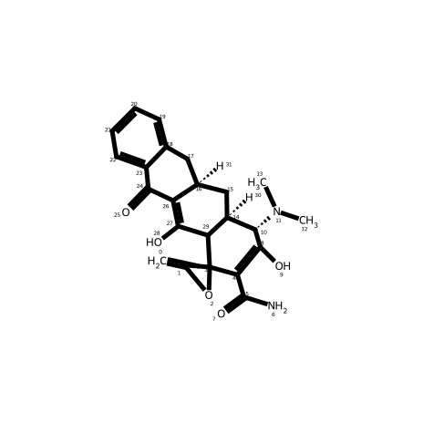 C=C1OC12C(C(N)=O)=C(O)[C@@H](N(C)C)[C@@H]1C[C@@H]3Cc4ccccc4C(=O)C3=C(O)C12